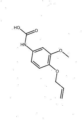 C=CCOc1ccc(NC(=O)O)cc1OC